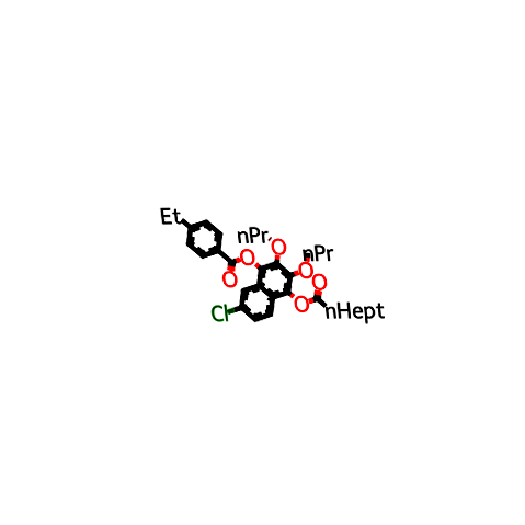 CCCCCCCC(=O)Oc1c(OCCC)c(OCCC)c(OC(=O)c2ccc(CC)cc2)c2cc(Cl)ccc12